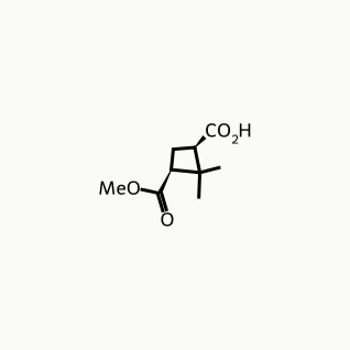 COC(=O)[C@H]1C[C@@H](C(=O)O)C1(C)C